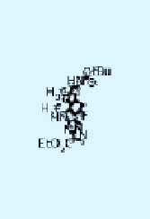 CCOC(=O)c1cnn2ccc(N[C@H](C)c3cc(F)cc4c3O[C@](C)(CCNC(=O)OC(C)(C)C)C4)nc12